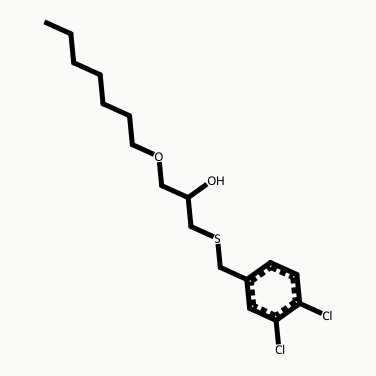 CCCCCCCOCC(O)CSCc1ccc(Cl)c(Cl)c1